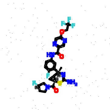 C[C@]1(c2cc(NC(=O)c3cnc(OCC(F)(F)F)cn3)ccc2F)N=C(N)S[C@@]2(C(=O)N3CC[C@H](F)C3)CC21